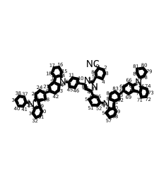 N#Cc1cccc(-c2nc(-c3ccc(-n4c5ccccc5c5cc(-c6ccc7c(c6)c6ccccc6n7-c6ccccc6)ccc54)cc3)cc(-c3cccc(-n4c5ccccc5c5cc(-c6ccc7c(c6)c6ccccc6n7-c6ccccc6)ccc54)c3)n2)c1